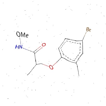 CONC(=O)C(C)Oc1ccc(Br)cc1C